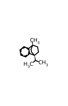 CC(C)[C@]12CC[C@](C)(CC1)c1ccccc12